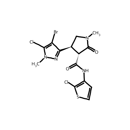 CN1C[C@H](c2nn(C)c(Cl)c2Br)[C@@H](C(=O)Nc2ccsc2Cl)C1=O